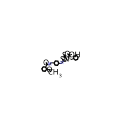 COc1ccccc1C(=O)/C=C/c1ccc(/C=C2/CN([C@@H](Cc3ccccc3)C(=O)O)C(=S)S2)cc1